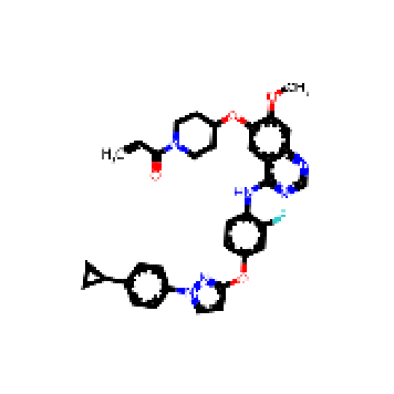 C=CC(=O)N1CCC(Oc2cc3c(Nc4ccc(Oc5ccn(-c6ccc(C7CC7)cc6)n5)cc4F)ncnc3cc2OC)CC1